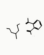 CC(CCO)CCO.O=C(O)c1ccccc1C(=O)O